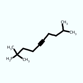 CC(C)CCC#CCCC(C)(C)P